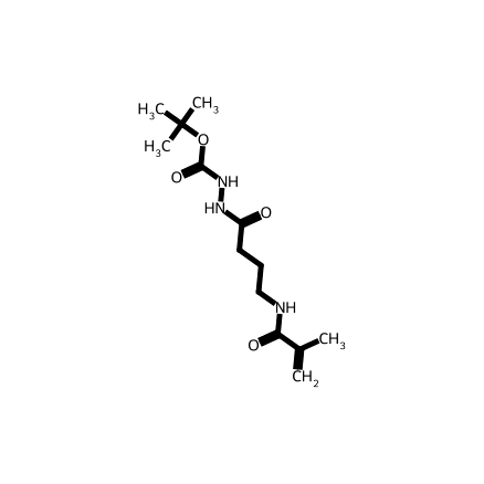 C=C(C)C(=O)NCCCC(=O)NNC(=O)OC(C)(C)C